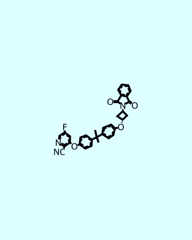 CC(C)(c1ccc(Oc2cc(F)cnc2C#N)cc1)c1ccc(O[C@H]2C[C@H](N3C(=O)c4ccccc4C3=O)C2)cc1